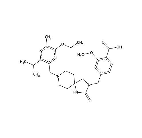 CCOc1cc(CN2CCC3(CC2)CN(Cc2ccc(C(=O)O)c(OC)c2)C(=O)N3)c(C(C)C)cc1C